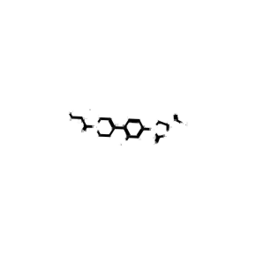 NC(=O)[C@H]1CN(c2ccc(C3=CCN(C(=O)[C@@H](O)CO)CC3)c(F)c2)C(=O)O1